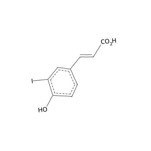 O=C(O)C=Cc1ccc(O)c(I)c1